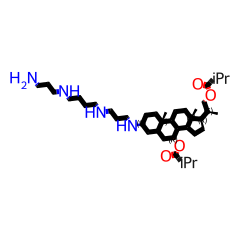 CC(C)C(=O)OC[C@@H](C)[C@H]1CCC2C3C(CC[C@@]21C)[C@@]1(C)CC[C@H](NCCCNCCCCNCCCN)CC1C[C@H]3OC(=O)C(C)C